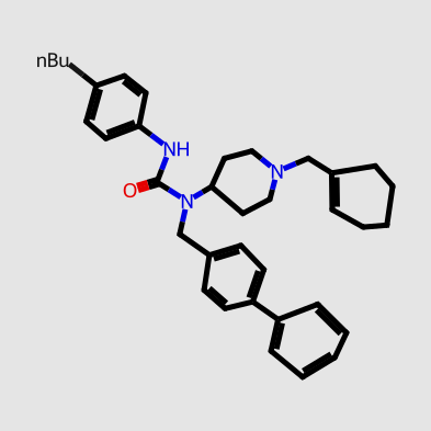 CCCCc1ccc(NC(=O)N(Cc2ccc(-c3ccccc3)cc2)C2CCN(CC3=CCCCC3)CC2)cc1